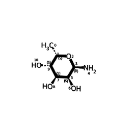 C[C@@H]1O[C@@H](N)[C@@H](O)[C@@H](O)[C@@H]1O